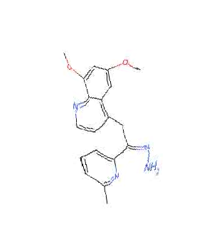 COc1cc(OC)c2nccc(C/C(=N/N)c3cccc(C)n3)c2c1